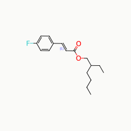 CCCCC(CC)COC(=O)/C=C/c1ccc(F)cc1